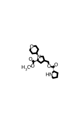 COC(=O)[C@@H]1CC(COC(=O)[C@@H]2CCCN2)CN1C1CCOCC1